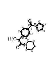 CC(C(=O)N1CCCCC1)c1ccc(C(=O)c2cccs2)cc1